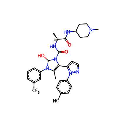 CC1=C(c2ccnn2-c2ccc(C#N)cc2)N(C(=O)N[C@@H](C)C(=O)NC2CCN(C)CC2)C(O)N1c1cccc(C(F)(F)F)c1